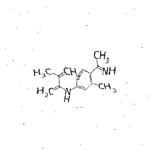 C=C(C)C(=C)Nc1ccc(C(C)=N)c(C)c1